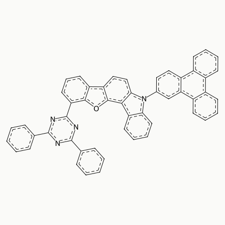 c1ccc(-c2nc(-c3ccccc3)nc(-c3cccc4c3oc3c4ccc4c3c3ccccc3n4-c3ccc4c5ccccc5c5ccccc5c4c3)n2)cc1